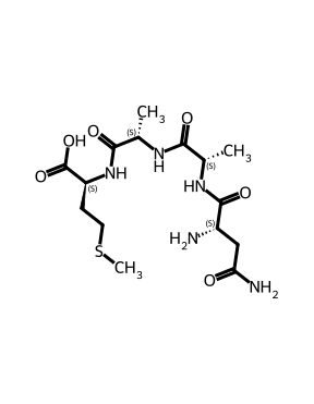 CSCC[C@H](NC(=O)[C@H](C)NC(=O)[C@H](C)NC(=O)[C@@H](N)CC(N)=O)C(=O)O